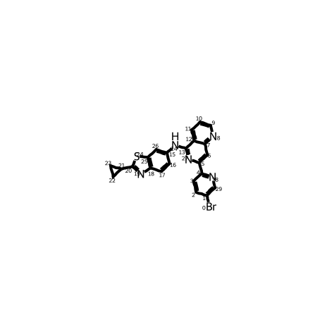 Brc1ccc(-c2cc3ncccc3c(Nc3ccc4nc(C5CC5)sc4c3)n2)nc1